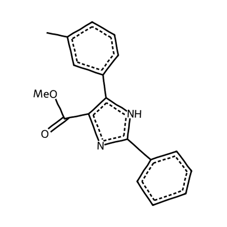 COC(=O)c1nc(-c2ccccc2)[nH]c1-c1cccc(C)c1